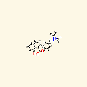 CC(C)N(CCc1cccc(-c2ccc3ccccc3c2C(=O)O)c1)C(C)C